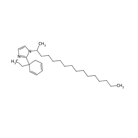 CCCCCCCCCCCCCCC(C)n1ccnc1C1(CC)C=CC=CC1